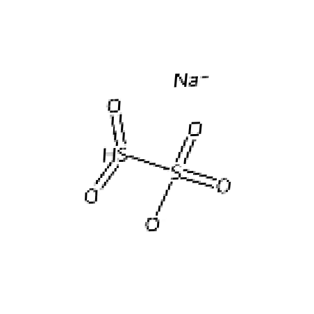 O=[SH](=O)S(=O)(=O)[O-].[Na+]